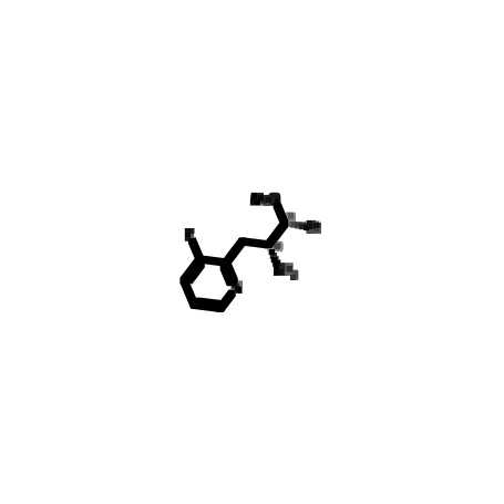 CC[C@@H](OC)[C@H](N)Cc1ncccc1F